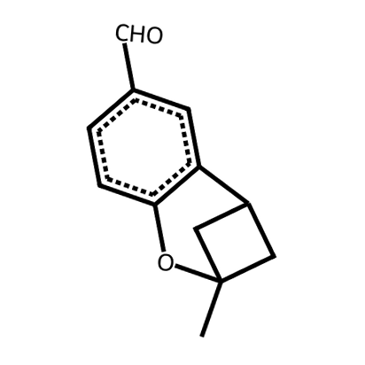 CC12CC(C1)c1cc(C=O)ccc1O2